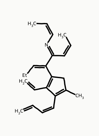 C=C/C=C\C1=C(C)CC(C(=C\CC)/C(/C=C\C)=N/C=C\C)=C1C=C